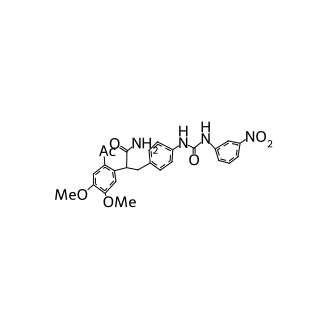 COc1cc(C(C)=O)c(C(Cc2ccc(NC(=O)Nc3cccc([N+](=O)[O-])c3)cc2)C(N)=O)cc1OC